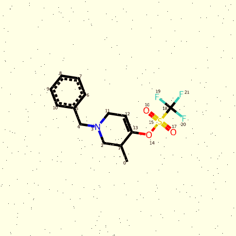 CC1CN(Cc2ccccc2)CC=C1OS(=O)(=O)C(F)(F)F